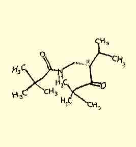 CC(C)[C@@H](CNC(=O)C(C)(C)C)C(=O)C(C)(C)C